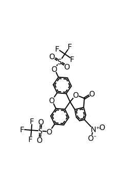 O=C1OC2(c3ccc(OS(=O)(=O)C(F)(F)F)cc3Oc3cc(OS(=O)(=O)C(F)(F)F)ccc32)c2ccc([N+](=O)[O-])cc21